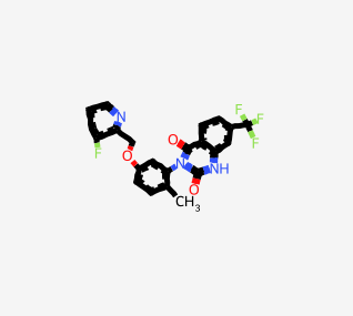 Cc1ccc(OCc2ncccc2F)cc1-n1c(=O)[nH]c2cc(C(F)(F)F)ccc2c1=O